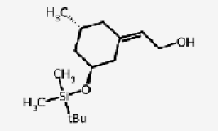 C[C@@H]1C/C(=C/CO)C[C@@H](O[Si](C)(C)C(C)(C)C)C1